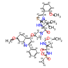 C=C[C@@H]1C[C@]1(NC(=O)[C@@H]1C[C@@H](Oc2cc(-c3ccccc3)nc3cc(OC)ccc23)CN1C(=O)[C@@H](Nc1nc(-c2ccccc2OC)cs1)C(C)(C)C)C(=O)NS(=O)(=O)C1CC1